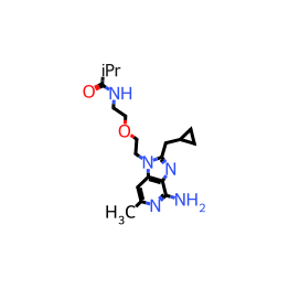 Cc1cc2c(nc(CC3CC3)n2CCOCCNC(=O)C(C)C)c(N)n1